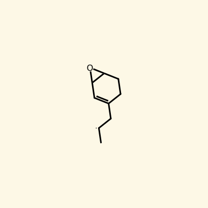 C[CH]CC1=CC2OC2CC1